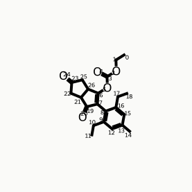 CCOC(=O)OC1=C(c2c(CC)cc(C)cc2CC)C(=O)C2CC(=O)CC12